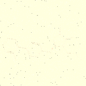 CC(=O)c1s/c(=N\c2ccc(-c3cccnc3C)cc2)n(CCO)c1C